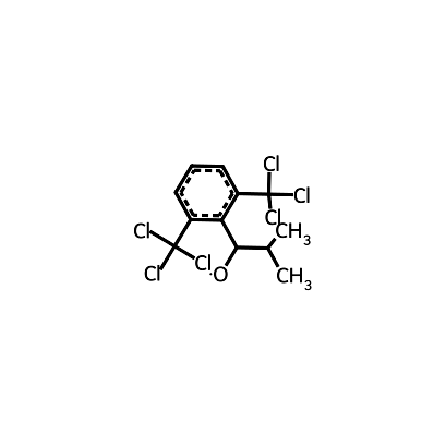 CC(C)C([O])c1c(C(Cl)(Cl)Cl)cccc1C(Cl)(Cl)Cl